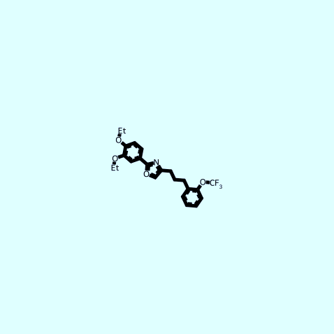 CCOc1ccc(-c2nc(CCCc3ccccc3OC(F)(F)F)co2)cc1OCC